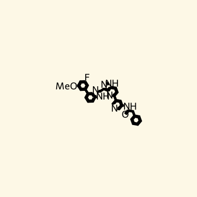 COc1cc(F)cc(-c2cccc3[nH]c(-c4n[nH]c5ccc(-c6cncc(NC(=O)Cc7ccccc7)c6)nc45)nc23)c1